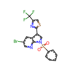 O=S(=O)(c1ccccc1)n1cc(-c2nc(C(F)(F)F)cs2)c2cc(Br)cnc21